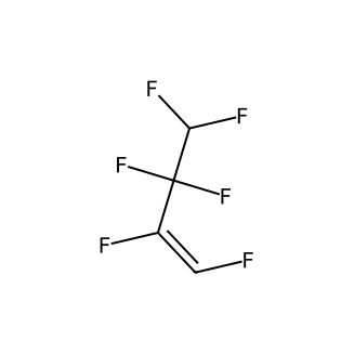 F/C=C(/F)C(F)(F)C(F)F